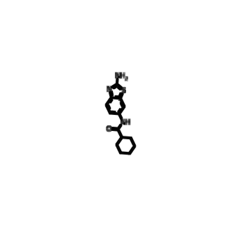 Nc1nc2ccc(NC(=O)C3CCCCC3)cc2s1